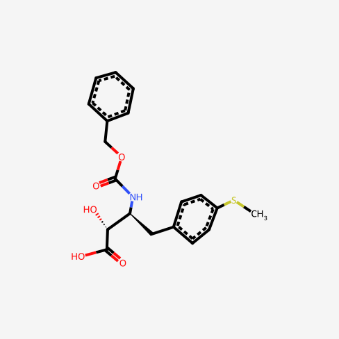 CSc1ccc(C[C@H](NC(=O)OCc2ccccc2)[C@@H](O)C(=O)O)cc1